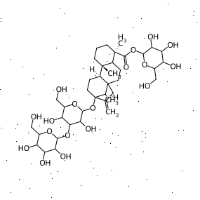 C=C1CC23CCC4[C@](C)(C(=O)OC5OC(CO)C(O)C(O)C5O)CCC[C@@]4(C)[C@@H]2CCC1(OC1OC(CO)C(O)C(OC2OC(CO)C(O)C(O)C2O)C1O)[C@@H]3C